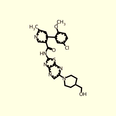 COc1ccc(Cl)cc1-c1cc(C)ncc1C(=O)Nc1nc2ncc(N3CCC(CO)CC3)nc2s1